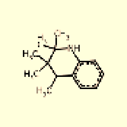 CC1c2ccccc2NC(C)(C)C1(C)C